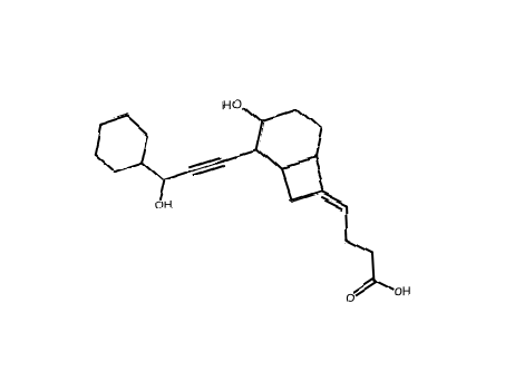 O=C(O)CC/C=C1\CC2C1CCC(O)C2C#CC(O)C1CCCCC1